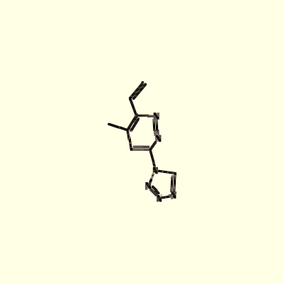 C=Cc1nnc(-n2cnnn2)cc1C